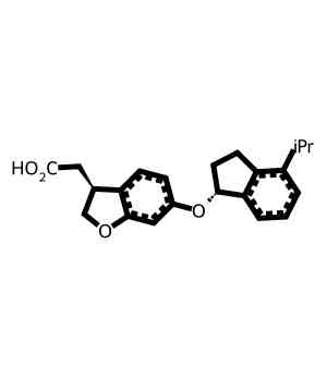 CC(C)c1cccc2c1CC[C@H]2Oc1ccc2c(c1)OC[C@H]2CC(=O)O